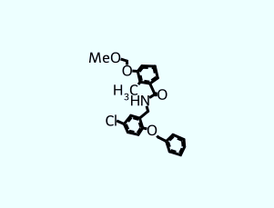 COCOc1cccc(C(=O)NCc2cc(Cl)ccc2OCc2ccccc2)c1C